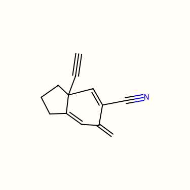 C#CC12C=C(C#N)C(=C)C=C1CCC2